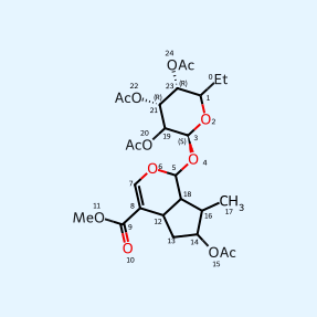 CCC1O[C@@H](OC2OC=C(C(=O)OC)C3CC(OC(C)=O)C(C)C23)C(OC(C)=O)[C@H](OC(C)=O)[C@@H]1OC(C)=O